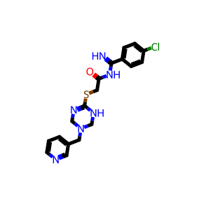 N=C(NC(=O)CSC1=NCN(Cc2cccnc2)CN1)c1ccc(Cl)cc1